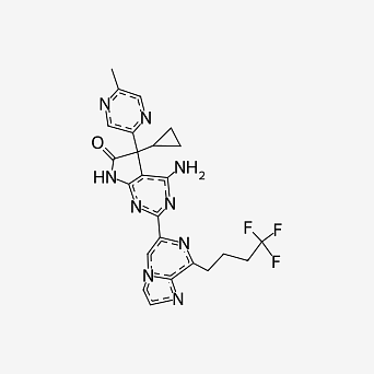 Cc1cnc(C2(C3CC3)C(=O)Nc3nc(-c4cn5ccnc5c(CCCC(F)(F)F)n4)nc(N)c32)cn1